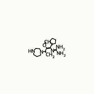 C=C(/C(OC)=C(\N=C(N)N)C1CCCC1)N1CCCNCC1